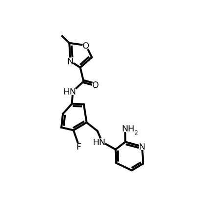 Cc1nc(C(=O)Nc2ccc(F)c(CNc3cccnc3N)c2)co1